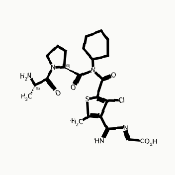 [CH2]c1sc(C(=O)N(C(=O)[C@@H]2CCCN2C(=O)[C@H](C)N)C2CCCCC2)c(Cl)c1C(=N)N=CC(=O)O